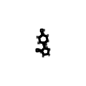 O=C1CCN(N2CCCC2=O)CC1